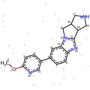 COc1ccc(-c2ccc3nc4n(c3c2)CC2CNCC42)cn1